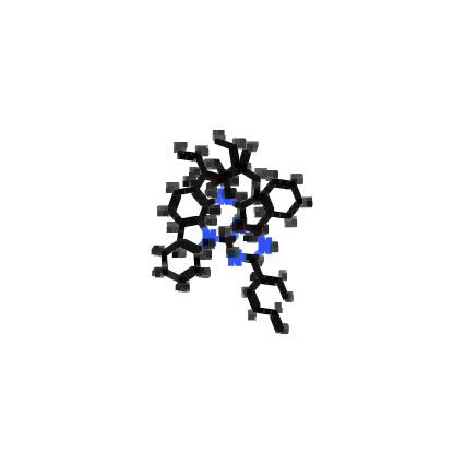 C=C/C=C\C(=C/C)c1nc(C2=CC=CCC2)nc(-n2c3c(c4ccc5c(C=C)c(/C=C\C)n(C(/C=C\C(=C)C(C)(C)C)=C/C)c5c42)CCC=C3)n1